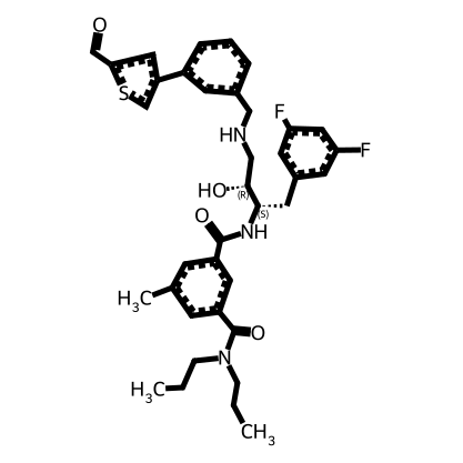 CCCN(CCC)C(=O)c1cc(C)cc(C(=O)N[C@@H](Cc2cc(F)cc(F)c2)[C@H](O)CNCc2cccc(-c3csc(C=O)c3)c2)c1